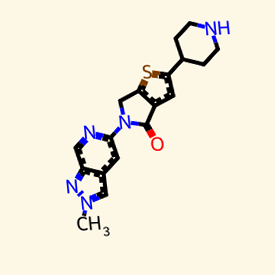 Cn1cc2cc(N3Cc4sc(C5CCNCC5)cc4C3=O)ncc2n1